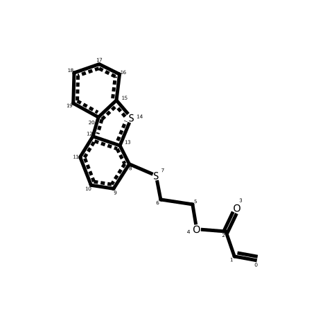 C=CC(=O)OCCSc1cccc2c1sc1ccccc12